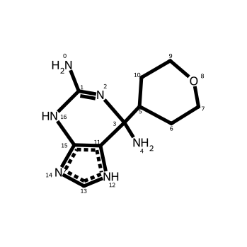 NC1=NC(N)(C2CCOCC2)c2[nH]cnc2N1